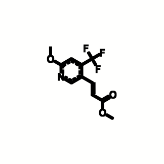 COC(=O)C=Cc1cnc(OC)cc1C(F)(F)F